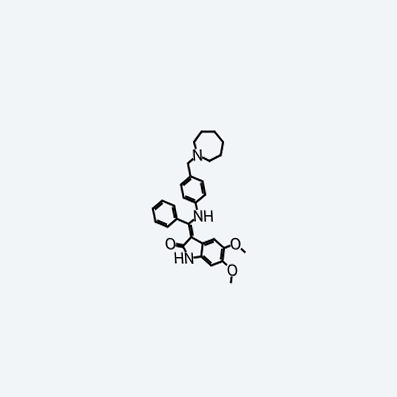 COc1cc2c(cc1OC)C(=C(Nc1ccc(CN3CCCCCC3)cc1)c1ccccc1)C(=O)N2